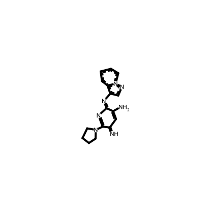 N=C1C=C(N)/C(=N\c2cnn3ccccc23)N=C1N1CCCC1